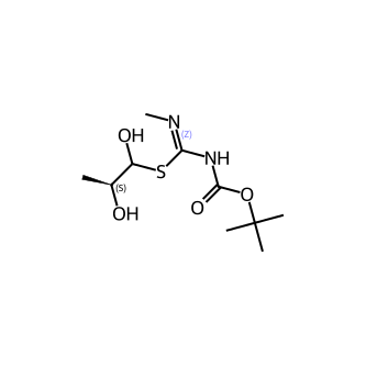 C/N=C(/NC(=O)OC(C)(C)C)SC(O)[C@H](C)O